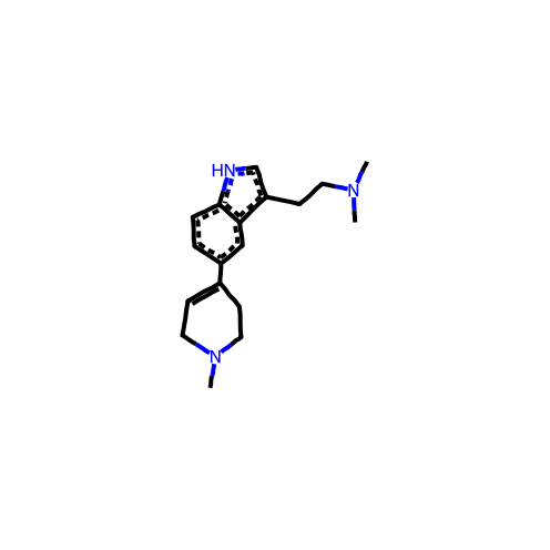 CN(C)CCc1c[nH]c2ccc(C3=CCN(C)CC3)cc12